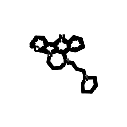 c1ccc2c3c4c(nc2c1)c1ccccc1n4CCCN3CCCN1CCCCC1